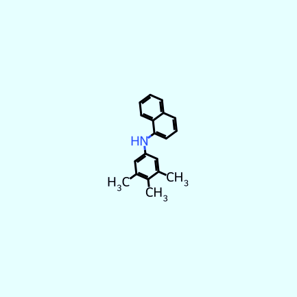 Cc1cc(Nc2cccc3ccccc23)cc(C)c1C